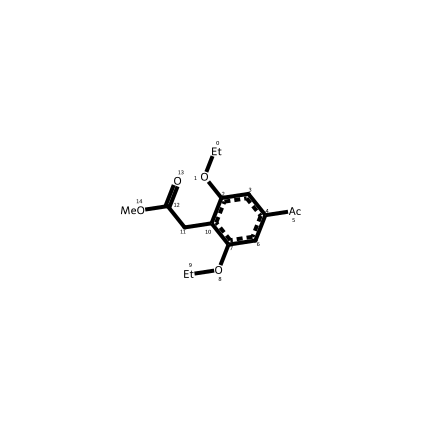 CCOc1cc(C(C)=O)cc(OCC)c1CC(=O)OC